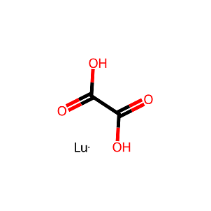 O=C(O)C(=O)O.[Lu]